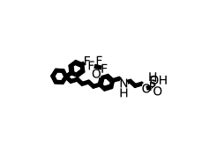 O=[PH](O)OCCCNCc1ccc(CCCCCC2(c3ccc(F)cc3)CCCCC2)c(OC(F)(F)F)c1